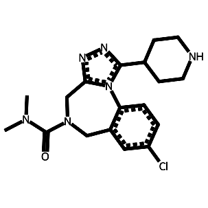 CN(C)C(=O)N1Cc2cc(Cl)ccc2-n2c(nnc2C2CCNCC2)C1